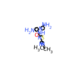 CC(C)Cn1cc(-c2nc(C(=O)Nc3cc(N)ccc3N3CCCC(N)C3)cs2)cn1